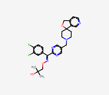 CC(C)(O)CO/N=C(\c1ccc(F)c(F)c1)c1ncc(CN2CCC3(CC2)OCc2ccncc23)cn1